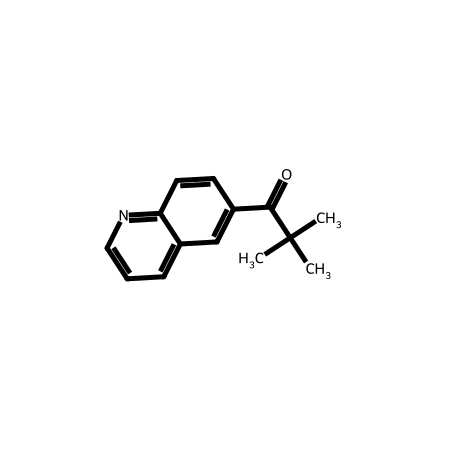 CC(C)(C)C(=O)c1ccc2ncccc2c1